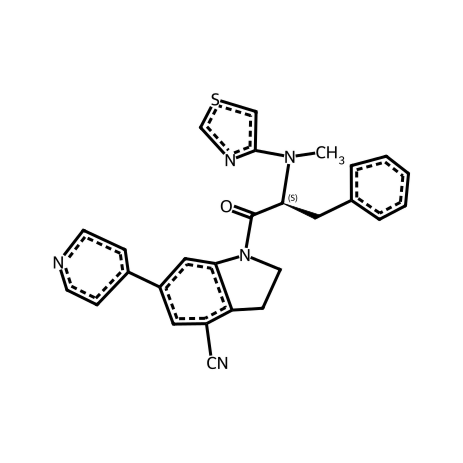 CN(c1cscn1)[C@@H](Cc1ccccc1)C(=O)N1CCc2c(C#N)cc(-c3ccncc3)cc21